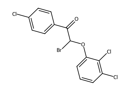 O=C(c1ccc(Cl)cc1)C(Br)Oc1cccc(Cl)c1Cl